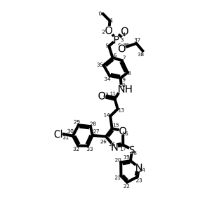 CCOP(=O)(Cc1ccc(NC(=O)CCc2oc(Sc3ccccn3)nc2-c2ccc(Cl)cc2)cc1)OCC